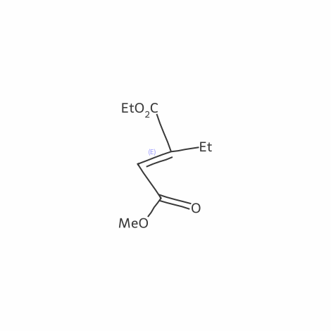 CCOC(=O)/C(=C/C(=O)OC)CC